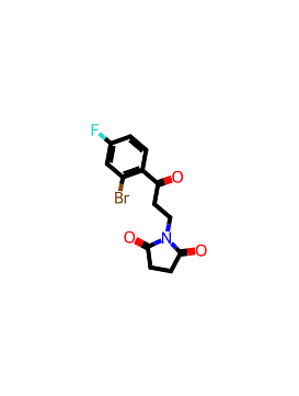 O=C(CCN1C(=O)CCC1=O)c1ccc(F)cc1Br